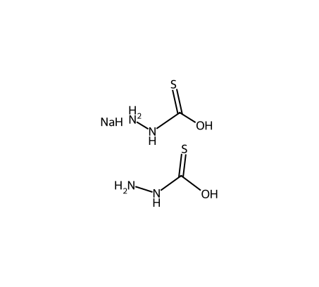 NNC(O)=S.NNC(O)=S.[NaH]